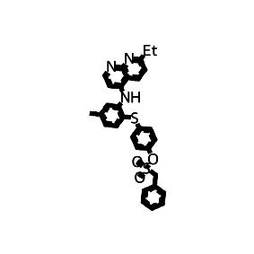 CCc1ccc2c(Nc3cc(C)ccc3Sc3ccc(OS(=O)(=O)Cc4ccccc4)cc3)ccnc2n1